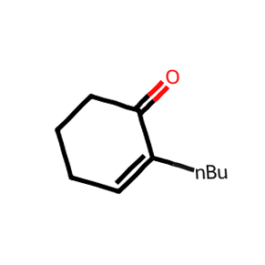 CCCCC1=CCCCC1=O